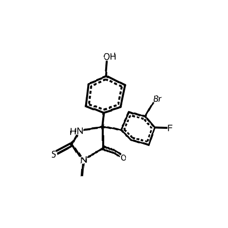 CN1C(=O)C(c2ccc(O)cc2)(c2ccc(F)c(Br)c2)NC1=S